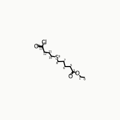 CCOC(=O)CCCCSCCCC(=O)Cl